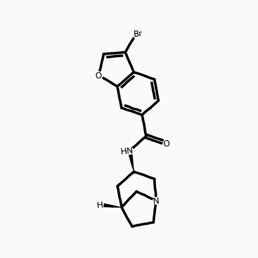 O=C(N[C@@H]1C[C@H]2CCN(C2)C1)c1ccc2c(Br)coc2c1